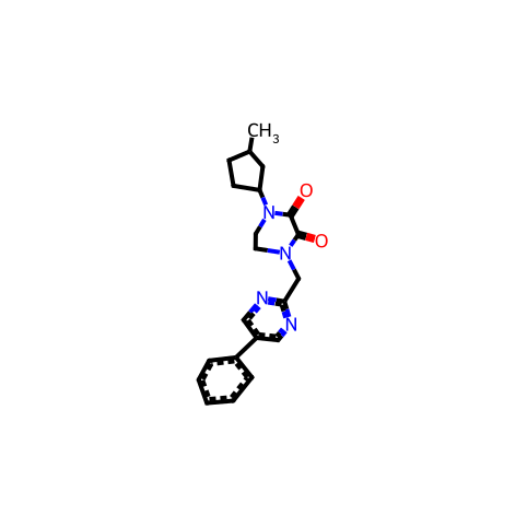 CC1CCC(N2CCN(Cc3ncc(-c4ccccc4)cn3)C(=O)C2=O)C1